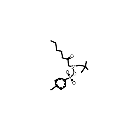 CCCCCC(=O)C[S+](CC(C)(C)C)OS(=O)(=O)c1ccc(C)cc1